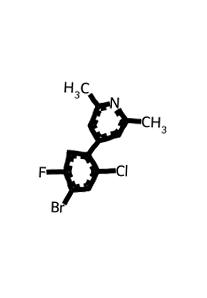 Cc1cc(-c2cc(F)c(Br)cc2Cl)cc(C)n1